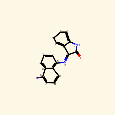 O=C1NC2=CCCC=C2/C1=N\c1cccc2c(I)cccc12